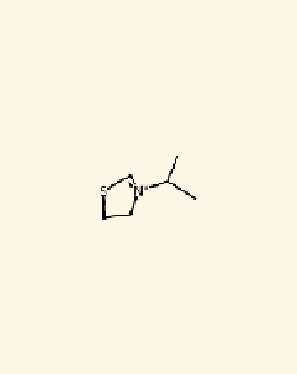 CC(C)[N+]1=CSCC1